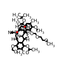 COCCOCOc1c(OC)c(C)cc2c1[C@@H]1C3[C@@H]4SC[C@@H](NC(=O)OC(C)(C)C)C(=O)NC[C@@H](c5c6c(c(C)c(OC(C)=O)c54)OCO6)N3[C@@H](C#N)[C@H](C2)N1C